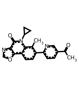 CC(=O)c1ccc(-c2ccc3c4ocnc4c(=O)n(C4CC4)c3c2C)nc1